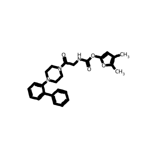 Cc1cc(OC(=O)NCC(=O)N2CCN(c3ccccc3-c3ccccc3)CC2)oc1C